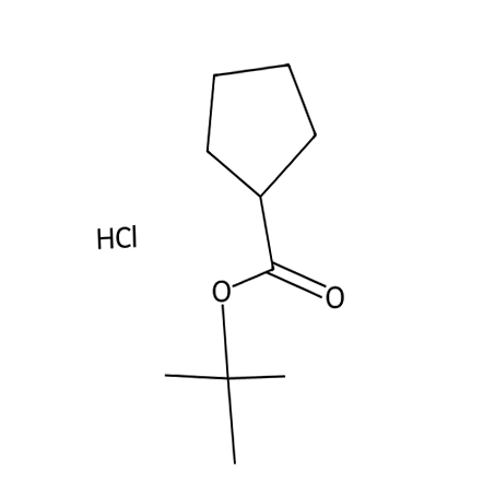 CC(C)(C)OC(=O)C1CCCC1.Cl